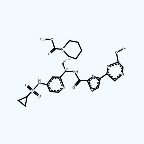 CCOc1cncc(-c2cnc(C(=O)N[C@H](C[C@H]3CCCCN3C(=O)OC(C)(C)C)c3cc(NS(=O)(=O)C4CC4)ccn3)s2)n1